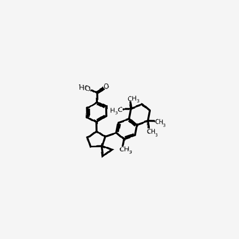 Cc1cc2c(cc1C1C(c3ccc(C(=O)O)cc3)CCC13CC3)C(C)(C)CCC2(C)C